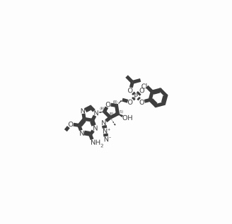 COc1nc(N)nc2c1ncn2[C@@H]1O[C@H](COP(=O)(Oc2ccccc2Cl)OC(C)C)[C@@H](O)[C@@]1(C)N=[N+]=[N-]